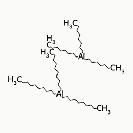 CCCCCCCCC[CH2][Al]([CH2]CCCCCCCCC)[CH2]CCCCCCCCC.CCCCCCC[CH2][Al]([CH2]CCCCCCC)[CH2]CCCCCCC